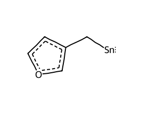 [Sn][CH2]c1ccoc1